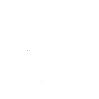 C=C(C)OB(O)O.CC(=O)O.COC(=O)C=N